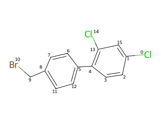 Clc1ccc(-c2ccc(CBr)cc2)c(Cl)c1